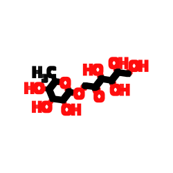 C[C@@H]1OC(OCC(=O)C(O)C(O)C(O)CO)[C@H](O)[C@H](O)[C@H]1O